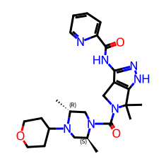 C[C@@H]1CN(C(=O)N2Cc3c(NC(=O)c4ccccn4)n[nH]c3C2(C)C)[C@@H](C)CN1C1CCOCC1